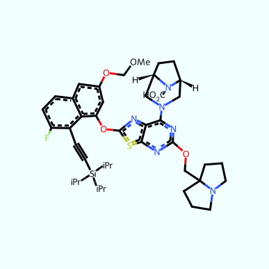 COCOc1cc(Oc2nc3c(N4C[C@H]5CC[C@@H](C4)N5C(=O)O)nc(OCC45CCCN4CCC5)nc3s2)c2c(C#C[Si](C(C)C)(C(C)C)C(C)C)c(F)ccc2c1